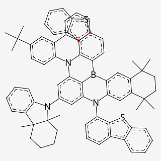 CC(C)(C)c1ccc(N2c3cc(N4c5ccccc5C5(C)CCCCC45C)cc4c3B(c3cc5c(cc3N4c3cccc4c3sc3ccccc34)C(C)(C)CCC5(C)C)c3ccc4sc5ccccc5c4c32)c(-c2ccccc2)c1